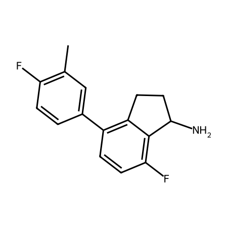 Cc1cc(-c2ccc(F)c3c2CCC3N)ccc1F